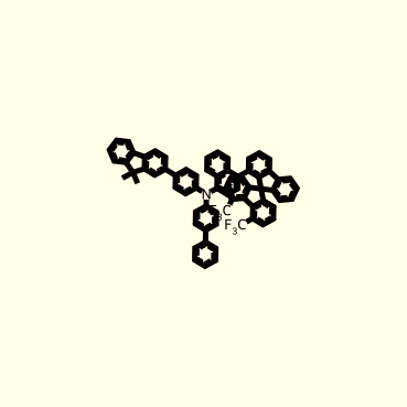 CC1(C)c2ccccc2-c2ccc(-c3ccc(N(c4ccc(-c5ccccc5)cc4)c4ccc(-c5cccc6c5C5(c7ccccc7-6)c6cccc(C(F)(F)F)c6-c6c(C(F)(F)F)cccc65)c5ccccc45)cc3)cc21